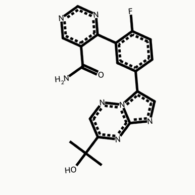 CC(C)(O)c1cnn2c(-c3ccc(F)c(-c4ncncc4C(N)=O)c3)cnc2n1